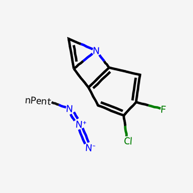 CCCCCN=[N+]=[N-].Fc1cc2c(cc1Cl)c1cn2-1